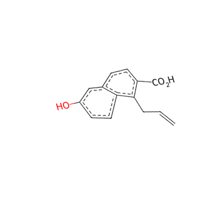 C=CCc1c(C(=O)O)ccc2cc(O)ccc12